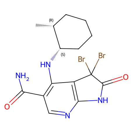 C[C@@H]1CCCC[C@@H]1Nc1c(C(N)=O)cnc2c1C(Br)(Br)C(=O)N2